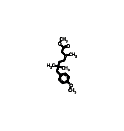 COC(=O)CN(C)CCC(C)(C)Cc1ccc(OC)cc1